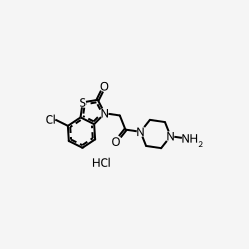 Cl.NN1CCN(C(=O)Cn2c(=O)sc3c(Cl)cccc32)CC1